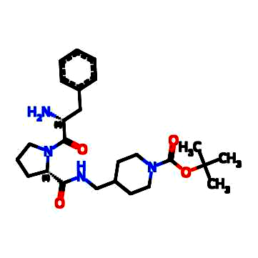 CC(C)(C)OC(=O)N1CCC(CNC(=O)[C@@H]2CCCN2C(=O)[C@H](N)Cc2ccccc2)CC1